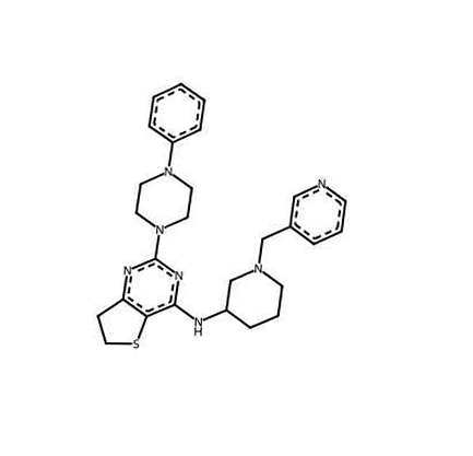 c1ccc(N2CCN(c3nc4c(c(NC5CCCN(Cc6cccnc6)C5)n3)SCC4)CC2)cc1